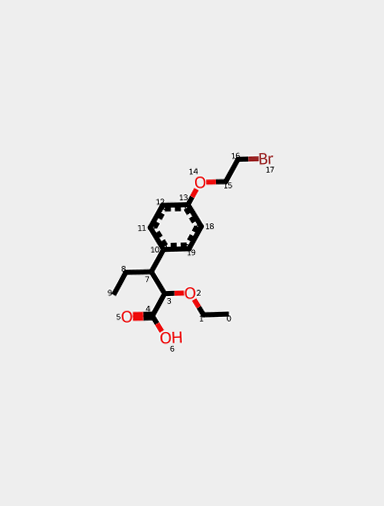 CCOC(C(=O)O)C(CC)c1ccc(OCCBr)cc1